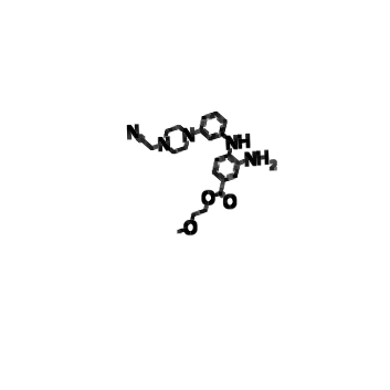 COCCOC(=O)c1ccc(Nc2cccc(N3CCN(CC#N)CC3)c2)c(N)c1